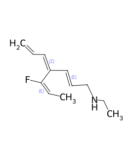 C=C/C=C(/C=C/CNCC)C(\F)=C/C